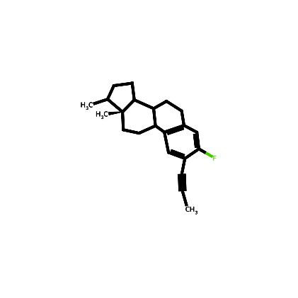 CC#Cc1cc2c(cc1F)CCC1C2CC[C@]2(C)C(C)CCC12